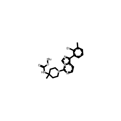 CCc1c(C)cccc1-c1ncn2c(N3CCC(C)(NC(=O)OC(C)(C)C)CC3)nccc12